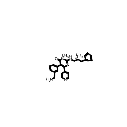 Cn1c(NC[C@@H](N)Cc2ccccc2)nc(-c2ccncc2)c(-c2cccc(CN)c2)c1=O